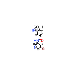 O=C(O)Nc1cccc(C(=O)Nc2cncc(Br)c2)c1